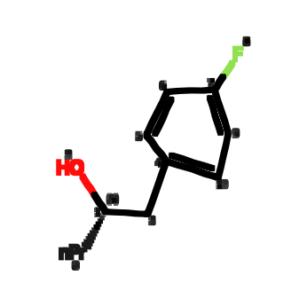 CCC[C@H](O)Cc1ccc(F)cc1